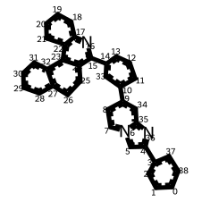 c1ccc(-c2cn3ccc(-c4cccc(-c5nc6ccccc6c6c5ccc5ccccc56)c4)cc3n2)cc1